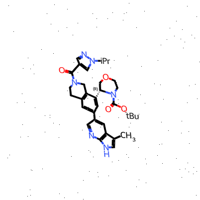 Cc1c[nH]c2ncc(-c3cc4c(c([C@@H]5COCCN5C(=O)OC(C)(C)C)c3)CN(C(=O)c3cnn(C(C)C)c3)CC4)cc12